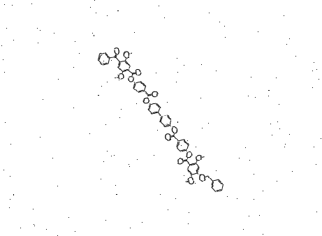 COc1cc(C(=O)Oc2ccc(C(=O)Oc3ccc(-c4ccc(OC(=O)c5ccc(OC(=O)c6cc(OC)c(C(=O)c7ccccc7)cc6OC)cc5)cc4)cc3)cc2)c(OC)cc1OCc1ccccc1